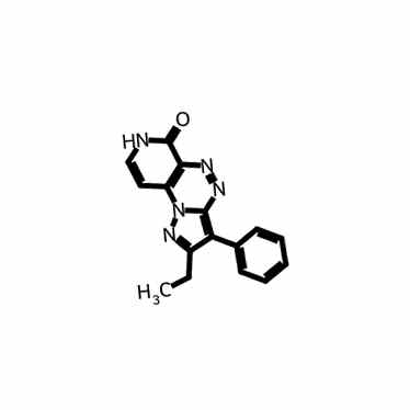 CCc1nn2c(nnc3c(=O)[nH]ccc32)c1-c1ccccc1